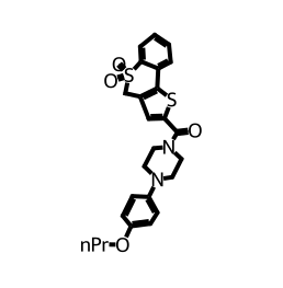 CCCOc1ccc(N2CCN(C(=O)c3cc4c(s3)-c3ccccc3S(=O)(=O)C4)CC2)cc1